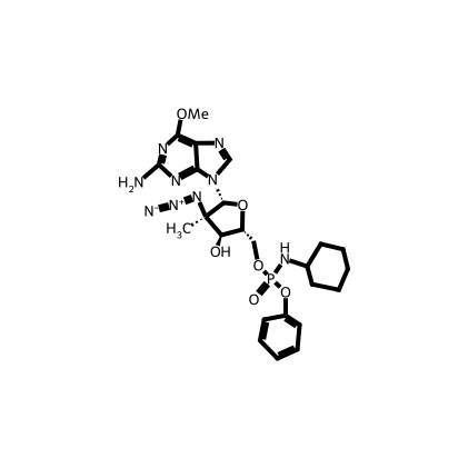 COc1nc(N)nc2c1ncn2[C@@H]1O[C@H](COP(=O)(NC2CCCCC2)Oc2ccccc2)[C@@H](O)[C@@]1(C)N=[N+]=[N-]